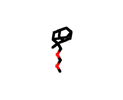 COCOCC1(C)C2CC3CC(C2)CC1C3